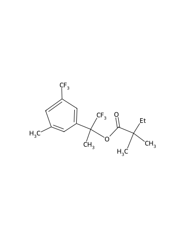 CCC(C)(C)C(=O)OC(C)(c1cc(C)cc(C(F)(F)F)c1)C(F)(F)F